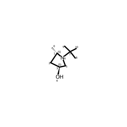 C[C@H]1C[C@H](O)CN1C(C)(C)C